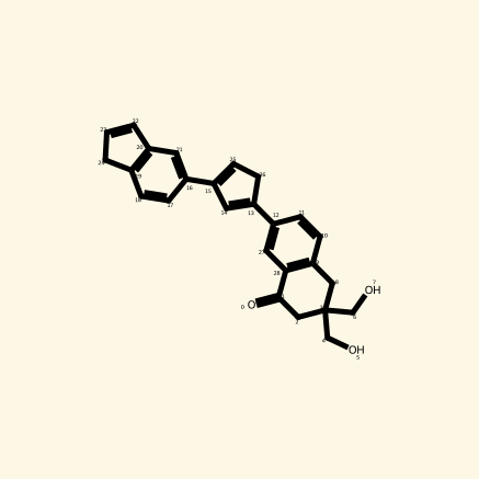 O=C1CC(CO)(CO)Cc2ccc(C3=CC(c4ccc5c(c4)C=CC5)=CC3)cc21